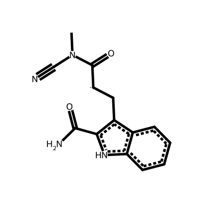 CN(C#N)C(=O)[CH]Cc1c(C(N)=O)[nH]c2ccccc12